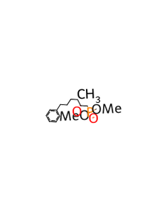 COP(=O)(CC(=O)C(C)CCCc1ccccc1)OC